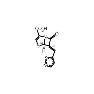 O=C(O)C1=CS[C@H]2/C(=C\c3ccns3)C(=O)N12